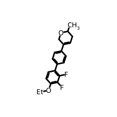 CCOc1ccc(-c2ccc(C3=CCC(C)OC3)cc2)c(F)c1F